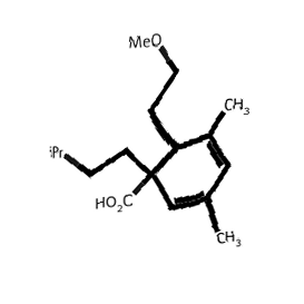 COCCC1C(C)=CC(C)=CC1(CCC(C)C)C(=O)O